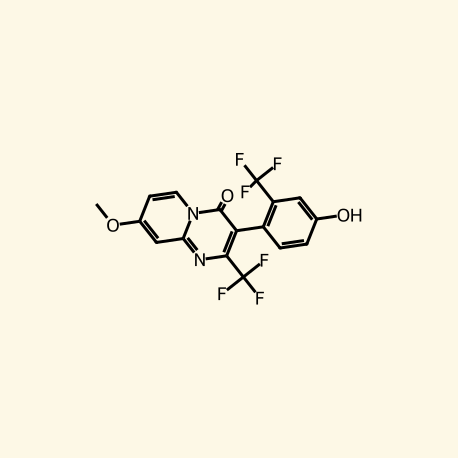 COc1ccn2c(=O)c(-c3ccc(O)cc3C(F)(F)F)c(C(F)(F)F)nc2c1